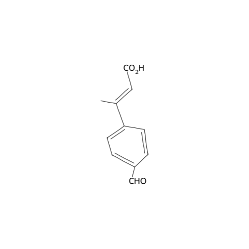 C/C(=C\C(=O)O)c1ccc(C=O)cc1